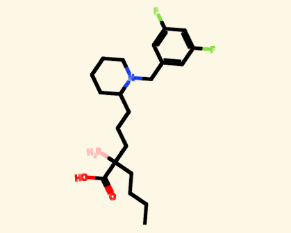 BC(CCCC)(CCCC1CCCCN1Cc1cc(F)cc(F)c1)C(=O)O